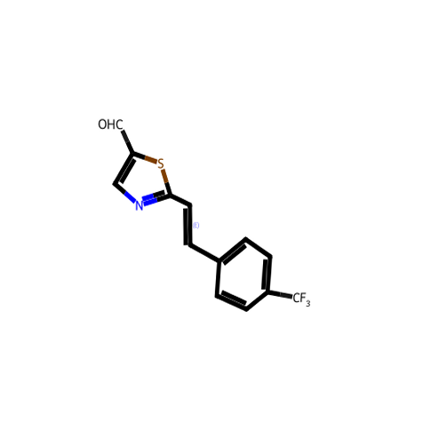 O=Cc1cnc(/C=C/c2ccc(C(F)(F)F)cc2)s1